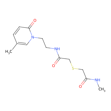 CNC(=O)CSCC(=O)NCCn1cc(C)ccc1=O